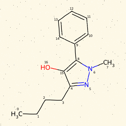 CCCCc1nn(C)c(-c2ccccc2)c1O